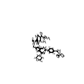 CN(Cc1cc2nc(-c3ccc(C[SH](=O)=O)cc3)nc(N3CCOCC3)c2s1)c1ncc(C(=O)NO)cn1